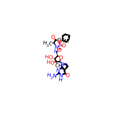 COC(=O)[C@H](C)NP(=O)(OC[C@H]1O[C@@H](n2ccc3c(=O)[nH]c(N)nc32)[C@](C)(O)[C@@H]1O)Oc1ccccc1